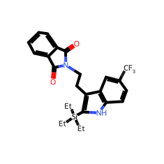 CC[Si](CC)(CC)c1[nH]c2ccc(C(F)(F)F)cc2c1CCN1C(=O)c2ccccc2C1=O